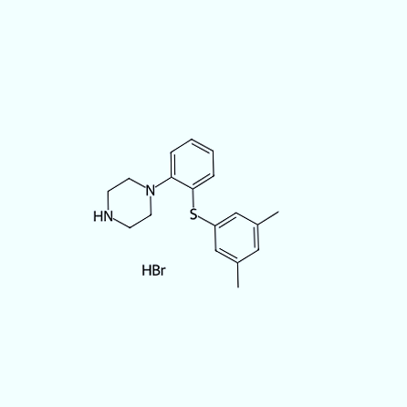 Br.Cc1cc(C)cc(Sc2ccccc2N2CCNCC2)c1